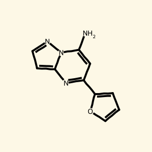 Nc1cc(-c2ccco2)nc2ccnn12